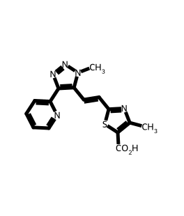 Cc1nc(/C=C/c2c(-c3ccccn3)nnn2C)sc1C(=O)O